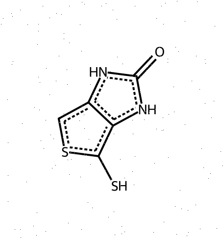 O=c1[nH]c2csc(S)c2[nH]1